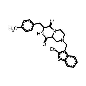 CCc1sc2ccccc2c1CN1CCN2C(=O)C(Cc3ccc(C)cc3)NC(=O)C2C1